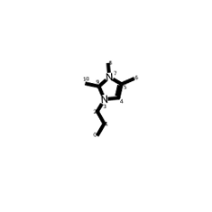 CCCN1C=C(C)N(C)C1C